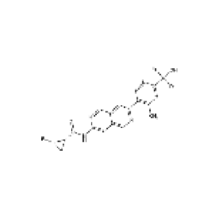 CCC(O)(CC)c1cc(C)c(-c2cc3cnc(NC(=O)[C@@H]4C[C@@H]4F)cc3cn2)cn1